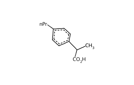 CCCc1ccc(C(C)C(=O)O)cc1